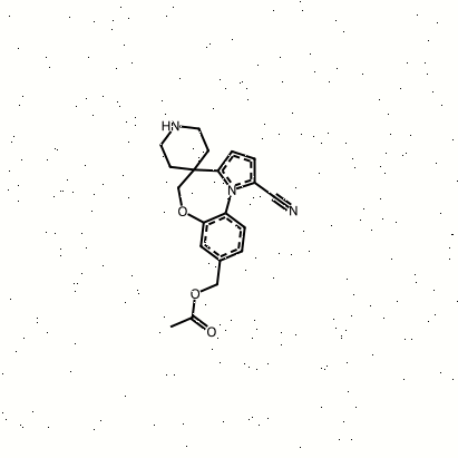 CC(=O)OCc1ccc2c(c1)OCC1(CCNCC1)c1ccc(C#N)n1-2